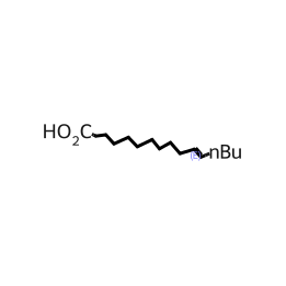 CCCC/C=C/CCCCCCCCCC(=O)O